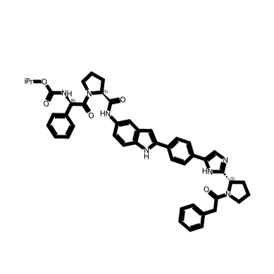 CC(C)OC(=O)N[C@@H](C(=O)N1CCC[C@H]1C(=O)Nc1ccc2[nH]c(-c3ccc(-c4cnc([C@@H]5CCCN5C(=O)Cc5ccccc5)[nH]4)cc3)cc2c1)c1ccccc1